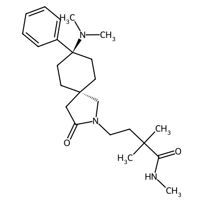 CNC(=O)C(C)(C)CCN1C[C@]2(CC[C@](c3ccccc3)(N(C)C)CC2)CC1=O